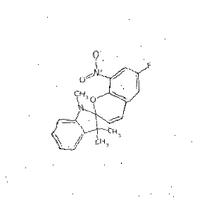 CN1c2ccccc2C(C)(C)C12C=Cc1cc(F)cc([N+](=O)[O-])c1O2